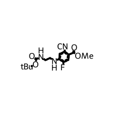 COC(=O)c1cc(F)c(NCCNC(=O)OC(C)(C)C)cc1C#N